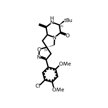 C=C1N[C@@H](C(C)(C)C)C(=O)N2C[C@@]3(CC(c4cc(Cl)c(OC)cc4OC)=NO3)CC12